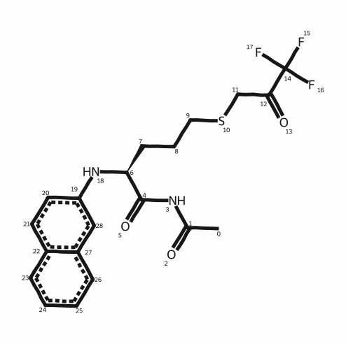 CC(=O)NC(=O)[C@H](CCCSCC(=O)C(F)(F)F)Nc1ccc2ccccc2c1